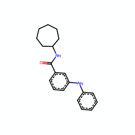 O=C(NC1CCCCCC1)c1cccc(Nc2ccccc2)c1